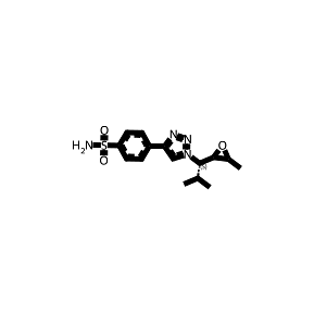 CC1OC1[C@H](C(C)C)n1cc(-c2ccc(S(N)(=O)=O)cc2)nn1